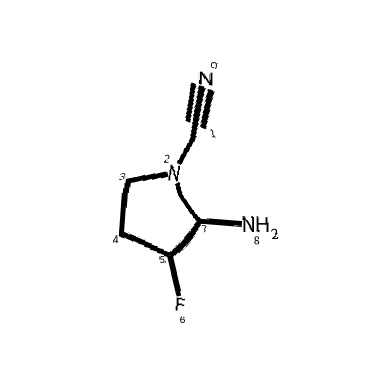 N#CN1CCC(F)C1N